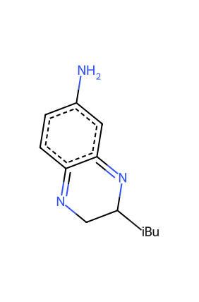 CCC(C)C1CN=c2ccc(N)cc2=N1